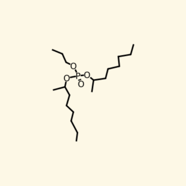 CCCCCCC(C)OP(=O)(OCCC)OC(C)CCCCCC